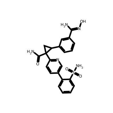 NC(=O)C1(c2ccc(-c3ccccc3S(N)(=O)=O)cn2)CC1c1cccc(/C(N)=N/O)c1